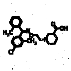 Cc1ccccc1/C(=N/OCCN1CCCC(C(=O)O)C1)c1ccc(Cl)cc1C